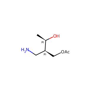 CC(=O)OC[C@@H](CN)[C@@H](C)O